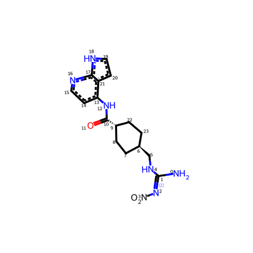 N/C(=N/[N+](=O)[O-])NC[C@H]1CC[C@H](C(=O)Nc2ccnc3[nH]ccc23)CC1